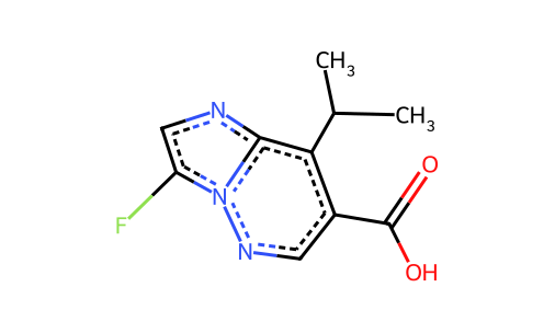 CC(C)c1c(C(=O)O)cnn2c(F)cnc12